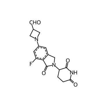 O=CC1CN(c2cc(F)c3c(c2)CN(C2CCC(=O)NC2=O)C3=O)C1